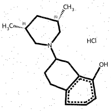 C[C@@H]1C[C@H](C)CN(C2CCc3cccc(O)c3C2)C1.Cl